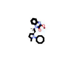 COc1nc2ccccc2n([C@@H](C)C[C@@H]2CCC(C)N2C2CCCCCCC2)c1=O